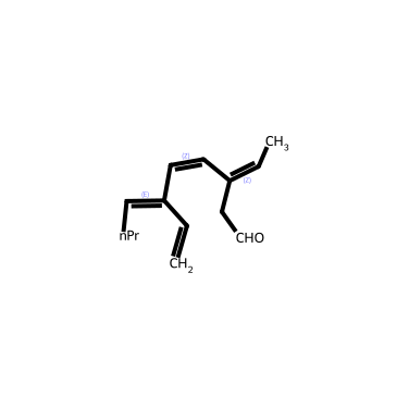 C=CC(/C=C\C(=C/C)CC=O)=C\CCC